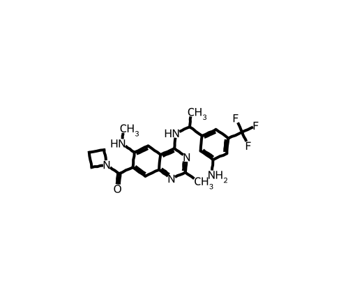 CNc1cc2c(NC(C)c3cc(N)cc(C(F)(F)F)c3)nc(C)nc2cc1C(=O)N1CCC1